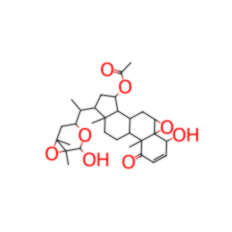 CC(=O)OC1CC(C(C)C2CC3(C)OC3(C)C(O)O2)C2(C)CCC3C(CC4OC45C(O)C=CC(=O)C35C)C12